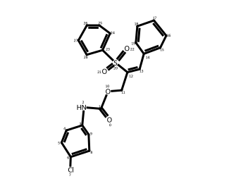 O=C(Nc1ccc(Cl)cc1)OC/C(=C/c1ccccc1)S(=O)(=O)c1ccccc1